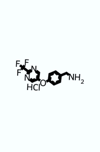 Cl.NCc1ccc(Oc2cnc(C(F)(F)F)nc2)cc1